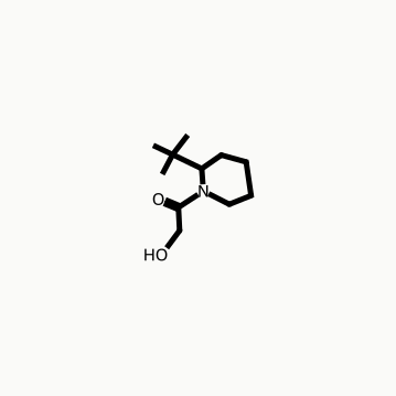 CC(C)(C)C1CCCCN1C(=O)CO